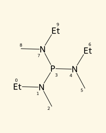 CCN(C)P(N(C)CC)N(C)CC